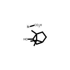 CC1(C)C2CCC1(C)C(O)C2.O=C(O)Br